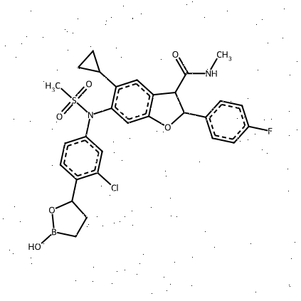 CNC(=O)C1c2cc(C3CC3)c(N(c3ccc(C4CCB(O)O4)c(Cl)c3)S(C)(=O)=O)cc2OC1c1ccc(F)cc1